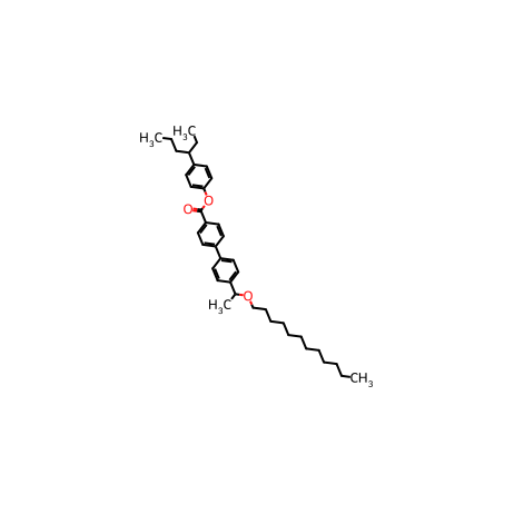 CCCCCCCCCCCCOC(C)c1ccc(-c2ccc(C(=O)Oc3ccc(C(CC)CCC)cc3)cc2)cc1